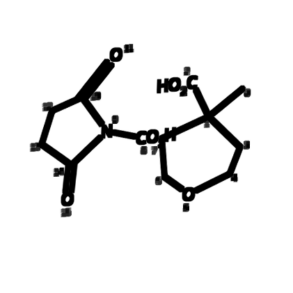 CC1(C(=O)O)CCOCC1.O=C(O)N1C(=O)CCC1=O